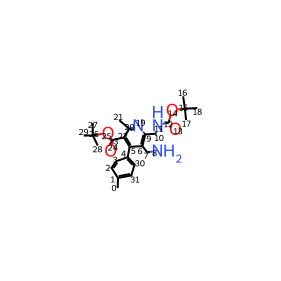 Cc1ccc(-c2c(CN)c(CNC(=O)OC(C)(C)C)nc(C)c2C(=O)OC(C)(C)C)cc1